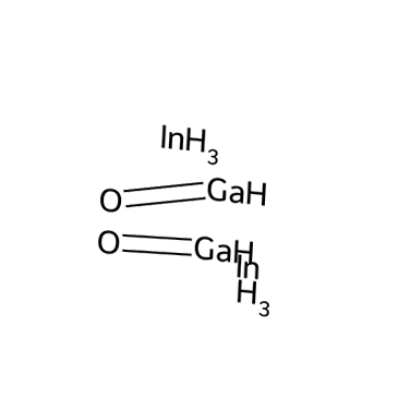 [InH3].[InH3].[O]=[GaH].[O]=[GaH]